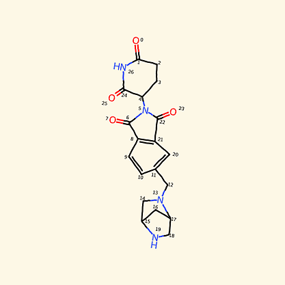 O=C1CCC(N2C(=O)c3ccc(CN4CC5CC4CN5)cc3C2=O)C(=O)N1